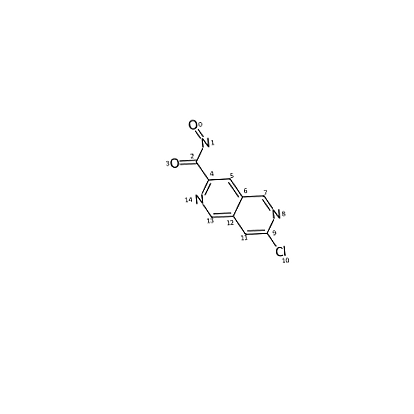 O=NC(=O)c1cc2cnc(Cl)cc2cn1